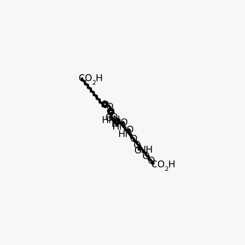 O=C(O)CCCCCCCCCCCCCc1ccc(Oc2ccc(S(=O)(=O)Nc3ncc(C(=O)NCCC(=O)NCCOCCOCC(=O)NCCOCCOCC(=O)O)cn3)cc2)cc1